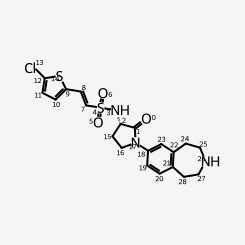 O=C1[C@@H](NS(=O)(=O)/C=C/c2ccc(Cl)s2)CCN1c1ccc2c(c1)CCNCC2